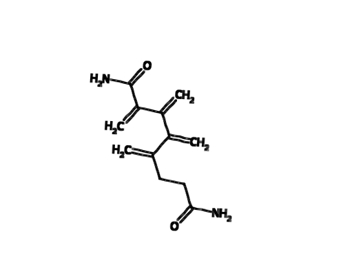 C=C(CCC(N)=O)C(=C)C(=C)C(=C)C(N)=O